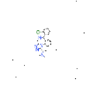 CC(c1nnc2n1-c1ccccc1C(c1ccccc1Cl)=NC2)N(C)C